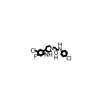 OC(CN1CCc2c([nH]c3cc(F)c(Cl)cc23)C1)Nc1ccc(Cl)cc1